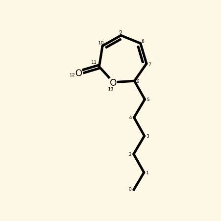 CCCCCCC1C=CC=CC(=O)O1